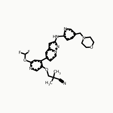 CC(C)(C#N)COc1cnc(OC(F)F)cc1-c1ccn2nc(Nc3ccc(CN4CCOCC4)cn3)cc2c1